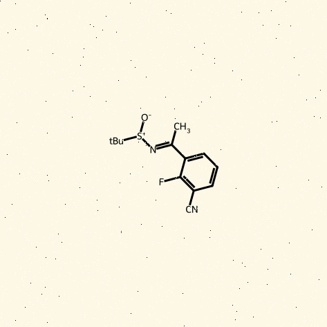 CC(=N[S+]([O-])C(C)(C)C)c1cccc(C#N)c1F